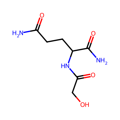 NC(=O)CCC(NC(=O)CO)C(N)=O